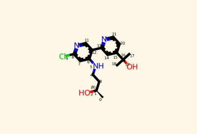 C[C@@H](O)CCNc1cc(Cl)ncc1-c1cc(C(C)(C)O)ccn1